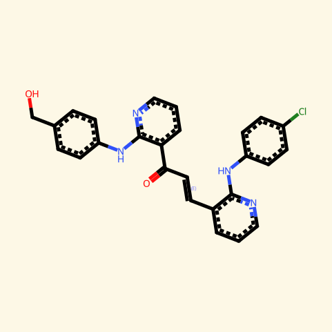 O=C(/C=C/c1cccnc1Nc1ccc(Cl)cc1)c1cccnc1Nc1ccc(CO)cc1